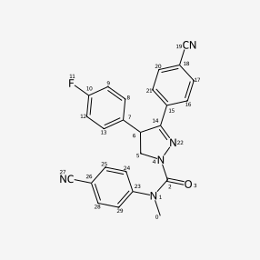 CN(C(=O)N1CC(c2ccc(F)cc2)C(c2ccc(C#N)cc2)=N1)c1ccc(C#N)cc1